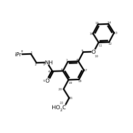 CC(C)CCNC(=O)c1cc(COc2ccccc2)ccc1CCC(=O)O